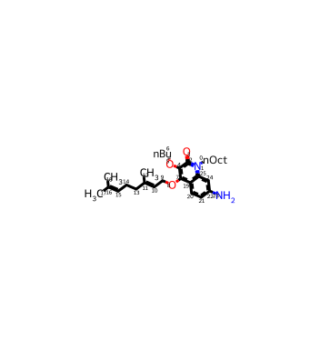 CCCCCCCCn1c(=O)c(OCCCC)c(OC/C=C(\C)CCC=C(C)C)c2ccc(N)cc21